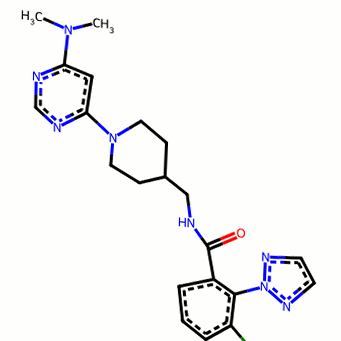 CN(C)c1cc(N2CCC(CNC(=O)c3cccc(F)c3-n3nccn3)CC2)ncn1